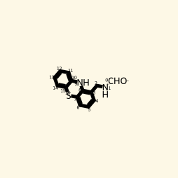 O=[C]NCc1cccc2c1Nc1ccccc1S2